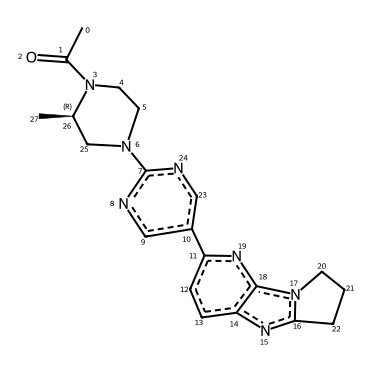 CC(=O)N1CCN(c2ncc(-c3ccc4nc5n(c4n3)CCC5)cn2)C[C@H]1C